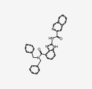 O=C(Nc1nc2c(C(=O)N(Cc3ccccc3)Cc3ccccc3)cccc2[nH]1)c1cc2ccccc2cn1